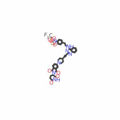 CS(=O)(=O)N(OC(=O)C(F)(F)F)c1ccc(CCNc2nc(C#CC3CCN(c4ccc5c(c4)C(=O)N(C4CCC(=O)NC4=O)C5=O)CC3)nc3ccccc23)cc1